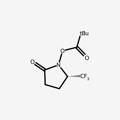 CC(C)(C)C(=O)ON1C(=O)CC[C@H]1C(F)(F)F